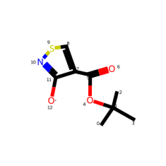 CC(C)(C)OC(=O)c1csnc1[O]